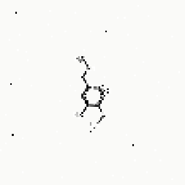 CNCc1ccc(OC)c(C)c1.Cl